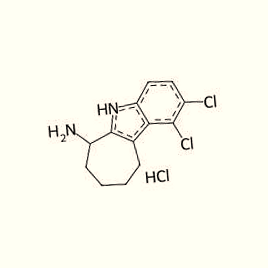 Cl.NC1CCCCc2c1[nH]c1ccc(Cl)c(Cl)c21